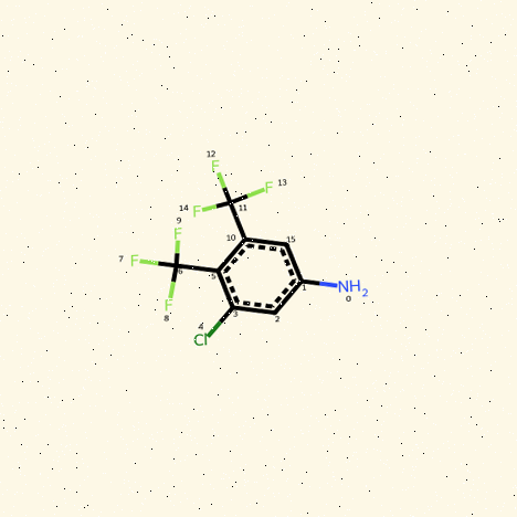 Nc1cc(Cl)c(C(F)(F)F)c(C(F)(F)F)c1